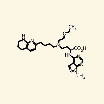 Cn1ncc2c(N[C@@H](CCN(CCCCc3ccc4c(n3)NCCC4)CCOCC(F)(F)F)C(=O)O)ncnc21